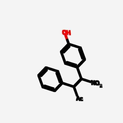 CC(=O)C(c1ccccc1)C(c1ccc(O)cc1)[N+](=O)[O-]